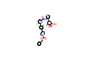 C[C@H]1C[C@@H](c2ccncc2NC(=O)c2ccc(F)c(-c3c(F)cc(C4=CCN(C(=O)OCc5ccccc5)CC4)cc3F)n2)C[C@@H](O)[C@]1(C)O